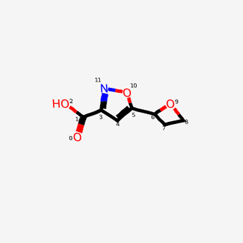 O=C(O)c1cc(C2CCO2)on1